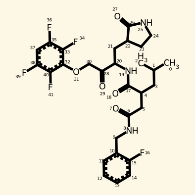 CC(C)CC(CC(=O)NCc1ccccc1F)C(=O)NC(CC1CCNC1=O)C(=O)COc1c(F)c(F)cc(F)c1F